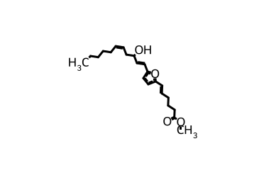 CCCCC/C=C\CC(O)/C=C/c1ccc(C=CCCCC(=O)OC)o1